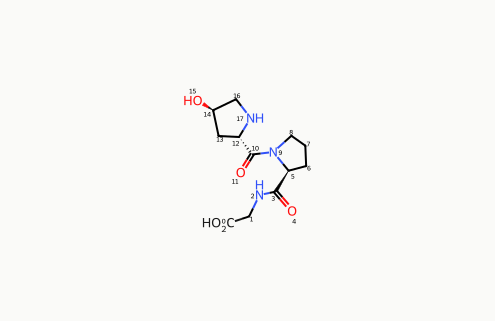 O=C(O)CNC(=O)[C@@H]1CCCN1C(=O)[C@@H]1C[C@@H](O)CN1